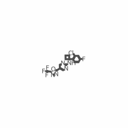 Fc1ccc(C2(Nc3ncc(-c4nnc(C(F)(F)F)o4)cn3)CCC2)c(Cl)c1